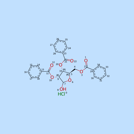 Cl.O=C(OC[C@H]1OC(O)[C@H](OC(=O)c2ccccc2)[C@@H]1OC(=O)c1ccccc1)c1ccccc1